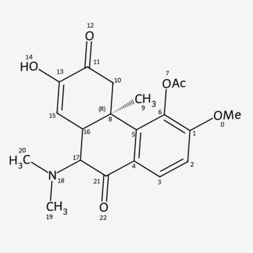 COc1ccc2c(c1OC(C)=O)[C@]1(C)CC(=O)C(O)=CC1C(N(C)C)C2=O